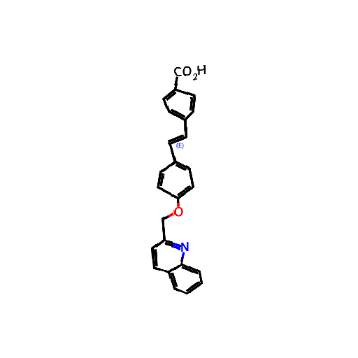 O=C(O)c1ccc(/C=C/c2ccc(OCc3ccc4ccccc4n3)cc2)cc1